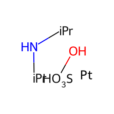 CC(C)NC(C)C.O=S(=O)(O)O.[Pt]